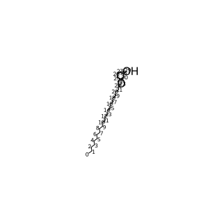 CCCCCCCCCCCCCCCCCCCCCCCOc1cccc(O)c1